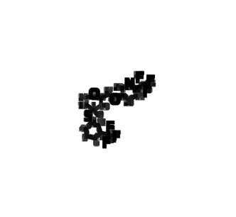 CC1(Sc2cccc(C(F)(F)F)c2)CCOC(COc2ccc(C(F)(F)F)nc2)C1